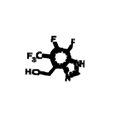 OCc1c(C(F)(F)F)c(F)c(F)c2[nH][c]nc12